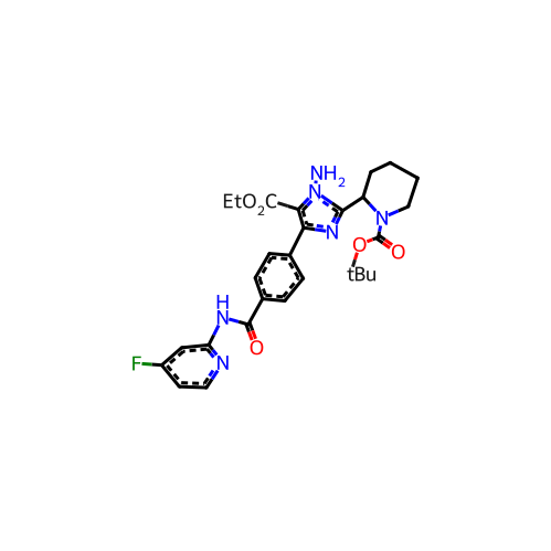 CCOC(=O)c1c(-c2ccc(C(=O)Nc3cc(F)ccn3)cc2)nc(C2CCCCN2C(=O)OC(C)(C)C)n1N